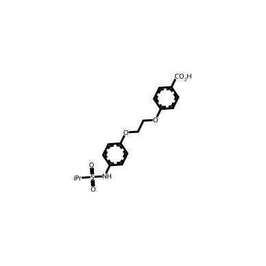 CC(C)S(=O)(=O)Nc1ccc(OCCOc2ccc(C(=O)O)cc2)cc1